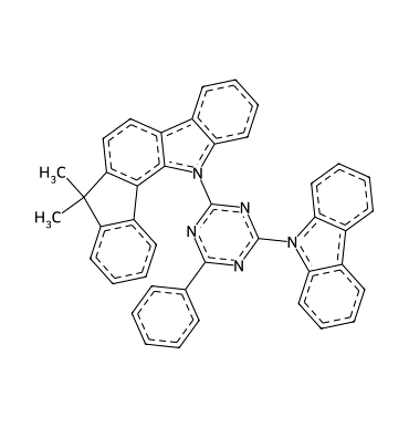 CC1(C)c2ccccc2-c2c1ccc1c3ccccc3n(-c3nc(-c4ccccc4)nc(-n4c5ccccc5c5ccccc54)n3)c21